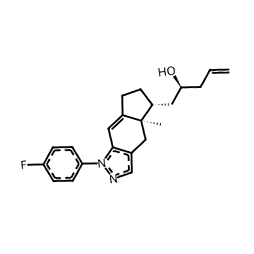 C=CC[C@H](O)C[C@H]1CCC2=Cc3c(cnn3-c3ccc(F)cc3)C[C@@]21C